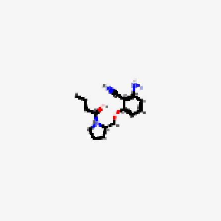 CCCC(=O)N1CCC[C@@H]1COc1cccc(N)c1C#N